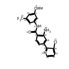 COc1cc(NC(=O)c2ccc(-c3ncccc3Cl)cc2N)cc(C(F)(F)F)c1